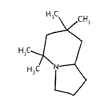 CC1(C)CC2CCCN2C(C)(C)C1